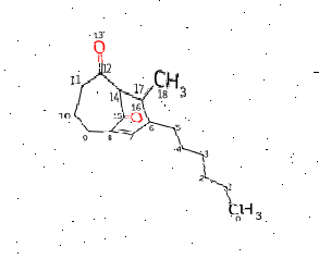 CCCCCCC1C=C2CCCC(=O)C(C2=O)C1C